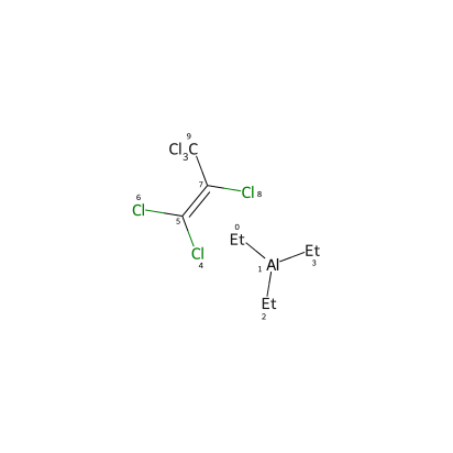 C[CH2][Al]([CH2]C)[CH2]C.ClC(Cl)=C(Cl)C(Cl)(Cl)Cl